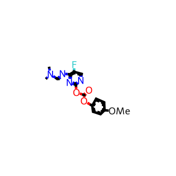 COc1ccc(OC(=O)Oc2ncc(F)c(/N=C/N(C)C)n2)cc1